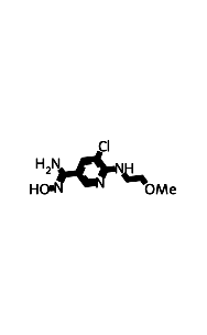 COCCNc1ncc(/C(N)=N/O)cc1Cl